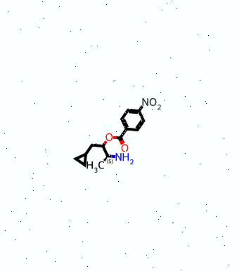 C[C@H](N)C(CC1CC1)OC(=O)c1ccc([N+](=O)[O-])cc1